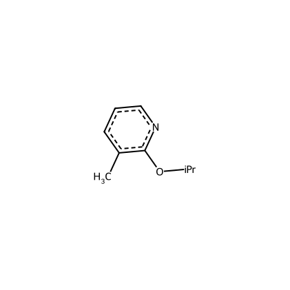 Cc1cccnc1OC(C)C